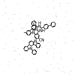 Cc1ccc2c(c1)c1cc(C)ccc1n2-c1cc(-n2c3c(c4ccccc42)C2C(C=C3)C3C=CC=CC3N2c2ccccc2)c(C#N)cc1C1NC(c2ccccc2)NC(C2C=CC(C3=CCCC=C3)=CC2)N1